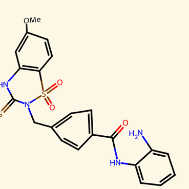 COc1ccc2c(c1)NC(=S)N(Cc1ccc(C(=O)Nc3ccccc3N)cc1)S2(=O)=O